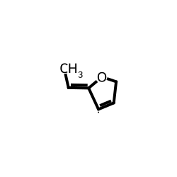 CC=C1[C]=CCO1